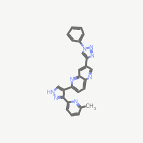 Cc1cccc(-c2n[nH]cc2-c2ccc3ncc(-c4cn(-c5ccccc5)nn4)cc3n2)n1